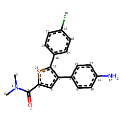 CN(C)C(=O)c1cc(-c2ccc(N)cc2)c(-c2ccc(F)cc2)s1